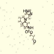 COCCCOC(=O)Nc1ccc2c(c1)N(Cc1c[nH]cn1)CCC2